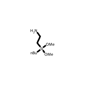 CCCC[Si](CCN)(OC)OC